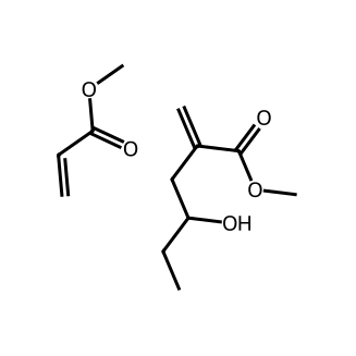 C=C(CC(O)CC)C(=O)OC.C=CC(=O)OC